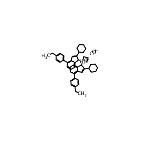 CCc1ccc(-c2cccc3c2C=C(C2CCCCC2)[CH]3[Hf+2]2([CH]3C(C4CCCCC4)=Cc4c(-c5ccc(CC)cc5)cccc43)[CH2]C[CH2]2)cc1.[Cl-].[Cl-]